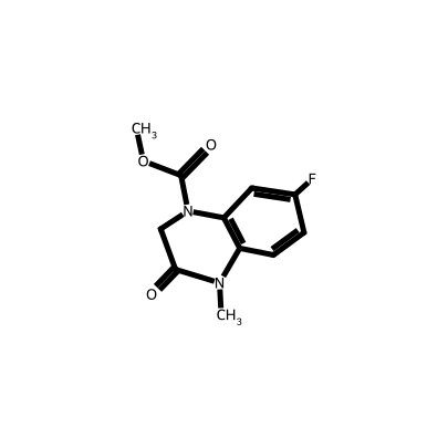 COC(=O)N1CC(=O)N(C)c2ccc(F)cc21